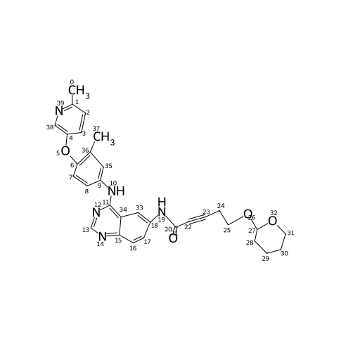 Cc1ccc(Oc2ccc(Nc3ncnc4ccc(NC(=O)C#CCCOC5CCCCO5)cc34)cc2C)cn1